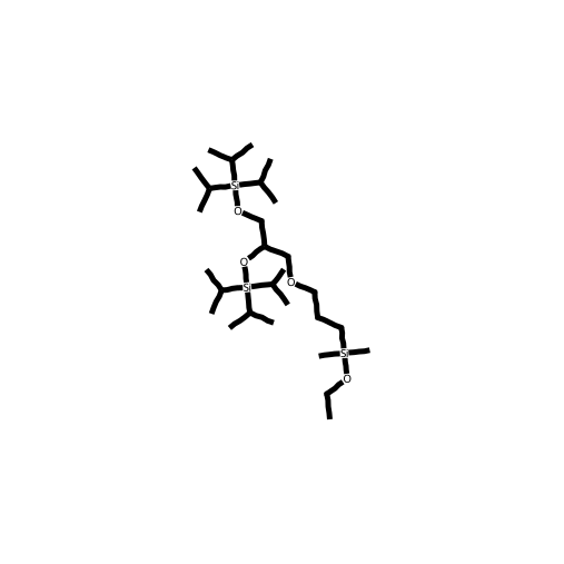 CCO[Si](C)(C)CCCOCC(CO[Si](C(C)C)(C(C)C)C(C)C)O[Si](C(C)C)(C(C)C)C(C)C